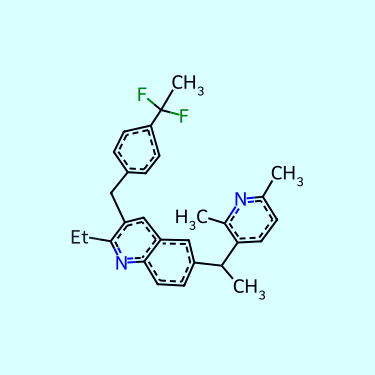 CCc1nc2ccc(C(C)c3ccc(C)nc3C)cc2cc1Cc1ccc(C(C)(F)F)cc1